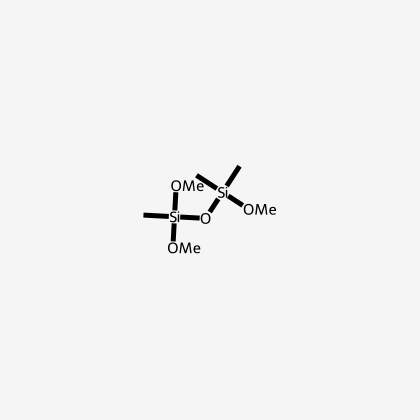 CO[Si](C)(C)O[Si](C)(OC)OC